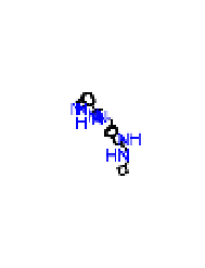 c1cc(-c2cn(Cc3ccc4cc(CNCC5CCC5)[nH]c4c3)nn2)c2[nH]ncc2c1